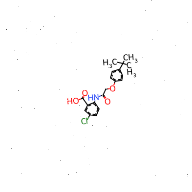 CC(C)(C)c1ccc(OCC(=O)Nc2ccc(Cl)cc2C(=O)O)cc1